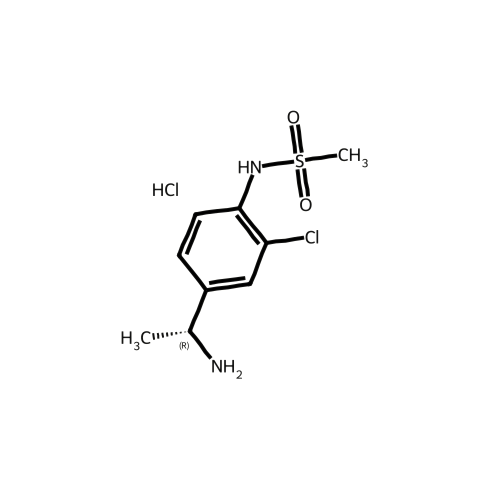 C[C@@H](N)c1ccc(NS(C)(=O)=O)c(Cl)c1.Cl